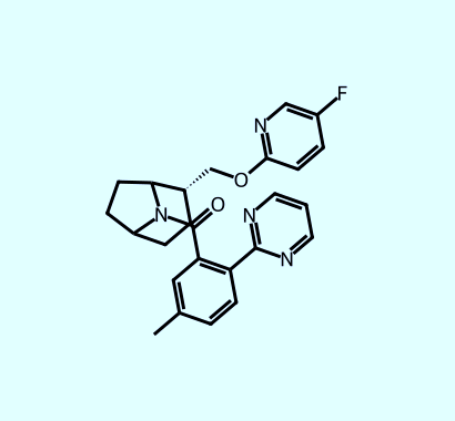 Cc1ccc(-c2ncccn2)c(C(=O)N2C3CCC2[C@H](COc2ccc(F)cn2)CC3)c1